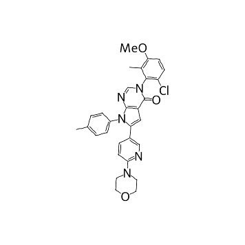 COc1ccc(Cl)c(-n2cnc3c(cc(-c4ccc(N5CCOCC5)nc4)n3-c3ccc(C)cc3)c2=O)c1C